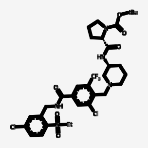 CCS(=O)(=O)c1ccc(Cl)cc1CNC(=O)c1cc(Cl)c(CN2CCC[C@H](NC(=O)[C@@H]3CCCN3C(=O)OC(C)(C)C)C2)c(C(F)(F)F)c1